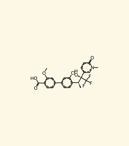 COc1cc(-c2ccc([C@H](C)[C@](O)(c3ccc(=O)n(C)c3)C(F)(F)F)c(Cl)c2)ccc1C(=O)O